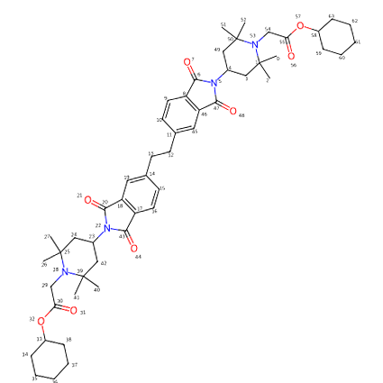 CC1(C)CC(N2C(=O)c3ccc(CCc4ccc5c(c4)C(=O)N(C4CC(C)(C)N(CC(=O)OC6CCCCC6)C(C)(C)C4)C5=O)cc3C2=O)CC(C)(C)N1CC(=O)OC1CCCCC1